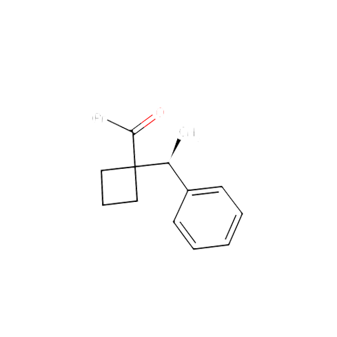 CC(C)C(=O)C1([C@@H](C)c2ccccc2)CCC1